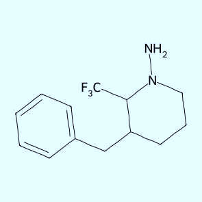 NN1CCCC(Cc2ccccc2)C1C(F)(F)F